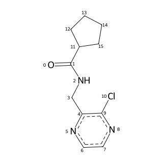 O=C(NCc1nccnc1Cl)C1CCCC1